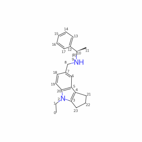 CCn1c2c(c3cc(CN[C@H](C)c4ccccc4)ccc31)CCC2